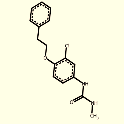 CNC(=O)Nc1ccc(OCCc2ccccc2)c(Cl)c1